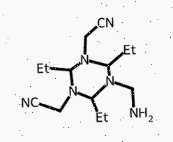 CCC1N(CN)C(CC)N(CC#N)C(CC)N1CC#N